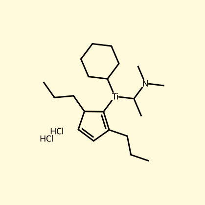 CCCC1=[C]([Ti]([CH]2CCCCC2)[CH](C)N(C)C)C(CCC)C=C1.Cl.Cl